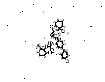 Cc1cccc(C)c1NC(=O)Nc1cc(-c2ccc(O)cc2)ccc1C(=O)N[C@H](C(=O)O)C1(C)CCCCC1